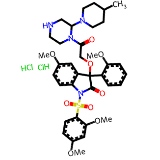 COc1ccc(S(=O)(=O)N2C(=O)C(OCC(=O)N3CCNCC3N3CCC(C)CC3)(c3ccccc3OC)c3cc(OC)ccc32)c(OC)c1.Cl.Cl